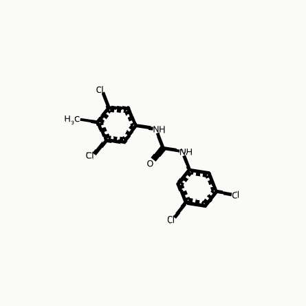 Cc1c(Cl)cc(NC(=O)Nc2cc(Cl)cc(Cl)c2)cc1Cl